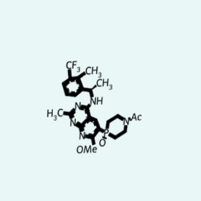 COc1nc2nc(C)nc(N[C@H](C)c3cccc(C(F)(F)F)c3C)c2cc1P1(=O)CCN(C(C)=O)CC1